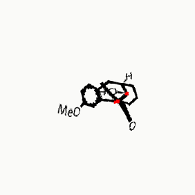 COc1ccc2c(c1)[C@]13CCC[C@H](C2)[C@]1(O)CCC(=O)C3